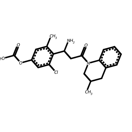 COC(=O)Oc1cc(C)c(C(N)CC(=O)N2CC(C)Cc3ccccc32)c(Cl)c1